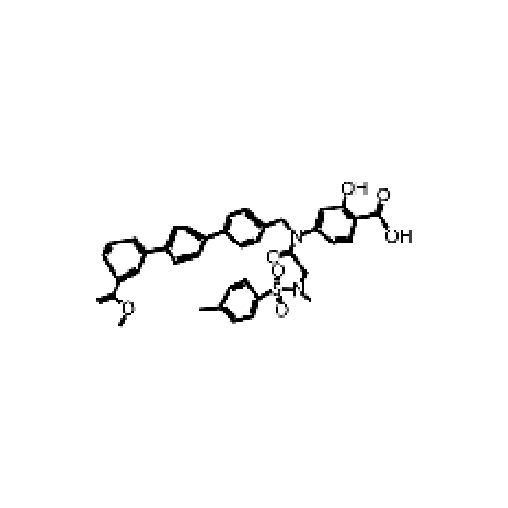 C=C(OC)c1cccc(-c2ccc(-c3ccc(CN(C(=O)CN(C)S(=O)(=O)c4ccc(C)cc4)c4ccc(C(=O)O)c(O)c4)cc3)cc2)c1